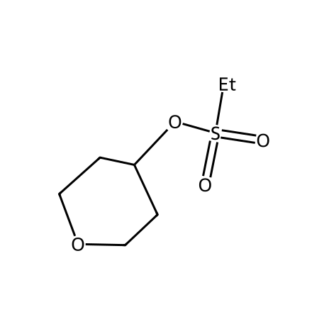 CCS(=O)(=O)OC1CCOCC1